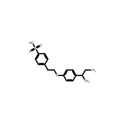 CCC(C)c1ccc(OCCc2ccc(S(=O)(=O)O)cc2)cc1